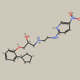 O=[N+]([O-])c1ccc(NCCNCC(O)COc2ccccc2C2CCCC2)nc1